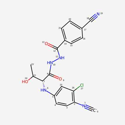 [C-]#[N+]c1ccc(N[C@@H](C(=O)NNC(=O)c2ccc(C#N)cc2)C(C)O)cc1Cl